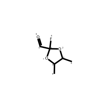 CC1OC(F)(C=O)OC1C